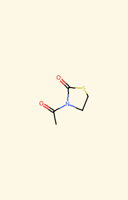 CC(=O)N1CCSC1=O